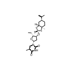 C=C(C)[C@H]1CC[C@@]2(C)S[P@@](=S)(O[C@H]3C[C@H](n4cc(C)c(=O)[nH]c4=O)O[C@@H]3CC)S[C@@H]2C1